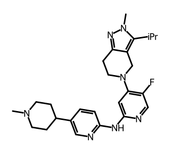 CC(C)c1c2c(nn1C)CCN(c1cc(Nc3ccc(C4CCN(C)CC4)cn3)ncc1F)C2